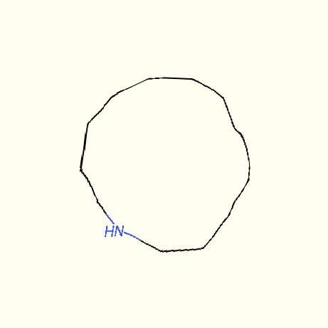 C1CCCCCCNCCCCC1